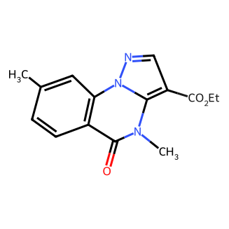 CCOC(=O)c1cnn2c3cc(C)ccc3c(=O)n(C)c12